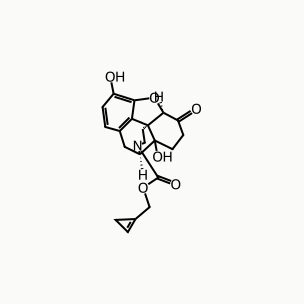 O=C1CCC2(O)[C@H]3Cc4ccc(O)c5c4[C@@]2(CCN3C(=O)OCC2=CC2)[C@H]1O5